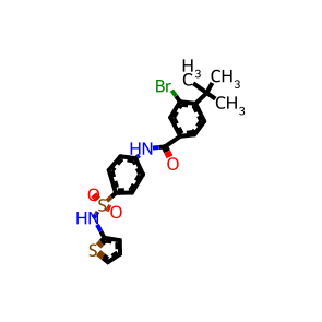 CC(C)(C)c1ccc(C(=O)Nc2ccc(S(=O)(=O)Nc3cccs3)cc2)cc1Br